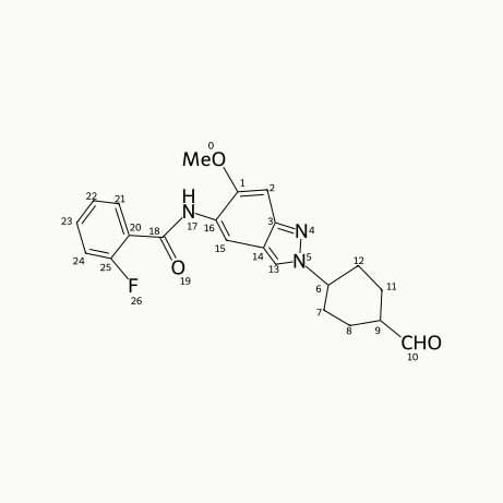 COc1cc2nn(C3CCC(C=O)CC3)cc2cc1NC(=O)c1ccccc1F